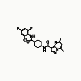 Cc1cc(C)n2ncc(C(=O)N[C@H]3CC[C@H](C(=O)Nc4c(F)cc(F)cc4Cl)CC3)c2n1